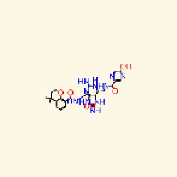 CC1(C)CCOc2c(C(=O)NC3CN4C(=N)N[C@@H](CNC(=O)c5cnc(O)cn5)C5NC(=N)NC54[C@@H]3O)cccc21